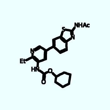 CCc1ncc(-c2ccc3nc(NC(C)=O)sc3c2)cc1NC(=O)OC1CCCCC1